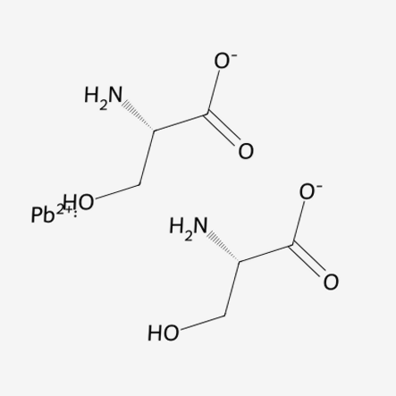 N[C@@H](CO)C(=O)[O-].N[C@@H](CO)C(=O)[O-].[Pb+2]